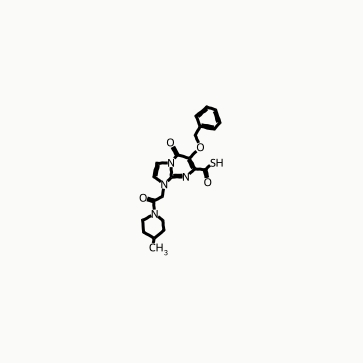 CC1CCN(C(=O)Cn2ccn3c(=O)c(OCc4ccccc4)c(C(=O)S)nc23)CC1